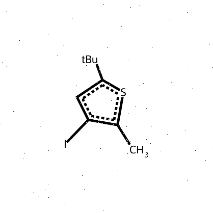 Cc1sc(C(C)(C)C)cc1I